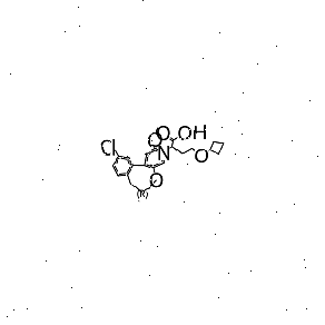 C[C@H]1COc2cn(C(CCOC3CCC3)C(=O)O)c(=O)cc2-c2cc(Cl)ccc2C1